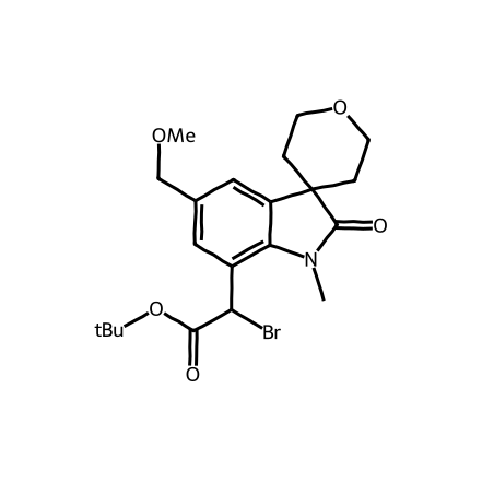 COCc1cc(C(Br)C(=O)OC(C)(C)C)c2c(c1)C1(CCOCC1)C(=O)N2C